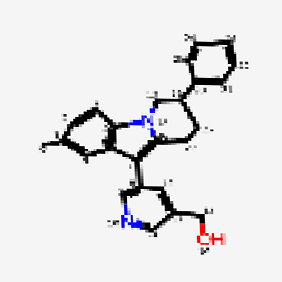 Cc1ccc2c(c1)c(-c1cncc(CO)c1)c1n2CC(c2ccccc2)CC1